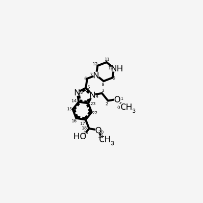 COCCn1c(CN2CCNCC2)nc2ccc(C(O)OC)cc21